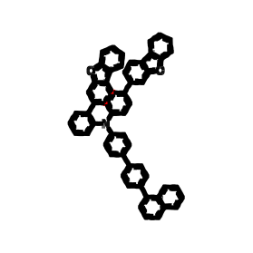 c1ccc(N(c2ccc(-c3ccc(-c4cccc5ccccc45)cc3)cc2)c2ccc(-c3ccc4c(c3)oc3ccccc34)cc2)c(-c2ccc3c(c2)oc2ccccc23)c1